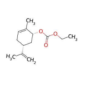 C=C(C)[C@@H]1CC=C(C)[C@H](OC(=O)OCC)C1